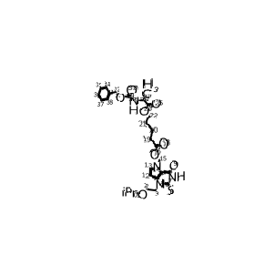 CC(C)OCCn1c(=S)[nH]c(=O)c2c1ccn2COC(=O)CCCCOC(=O)[C@H](C)NC(=O)OCc1ccccc1